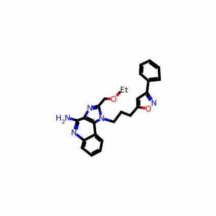 CCOCc1nc2c(N)nc3ccccc3c2n1CCCc1cc(-c2ccccc2)no1